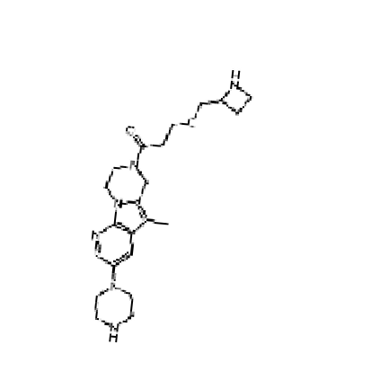 Cc1c2n(c3ncc(N4CCNCC4)cc13)CCN(C(=O)CCOCC1CCN1)C2